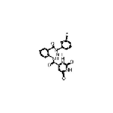 NN(C(=O)c1ccccc1NC(=O)c1cc(=O)[nH]c(=O)[nH]1)c1cccc(Cl)c1